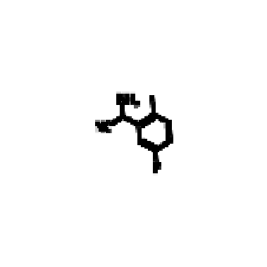 Cc1ccc(F)cc1C(N)C#N